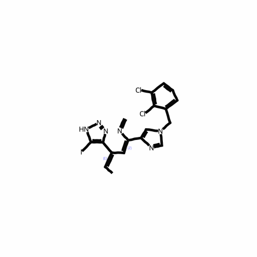 C=N/C(=C\C(=C/C)c1nn[nH]c1I)c1cn(Cc2cccc(Cl)c2Cl)cn1